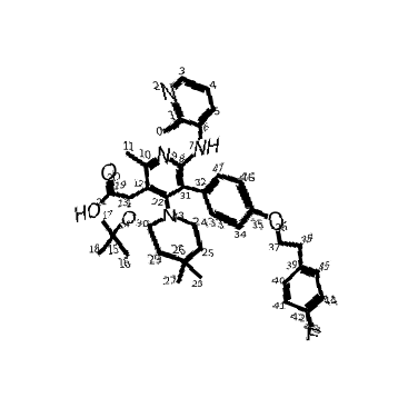 Cc1ncccc1Nc1nc(C)c([C@H](OC(C)(C)C)C(=O)O)c(N2CCC(C)(C)CC2)c1-c1ccc(OCCc2ccc(F)cc2)cc1